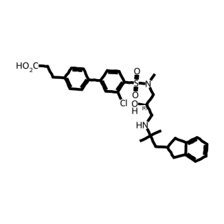 CN(C[C@H](O)CNC(C)(C)CC1Cc2ccccc2C1)S(=O)(=O)c1ccc(-c2ccc(CCC(=O)O)cc2)cc1Cl